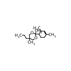 CCCC1(C)COC(C)(C2CCC(C)=CC2C)OC1